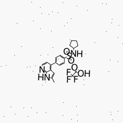 Cc1cc2c(-c3ccc(S(=O)(=O)NC4CCCC4)cc3)ccnc2[nH]1.O=C(O)C(F)(F)F